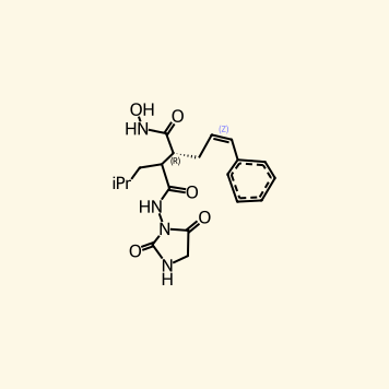 CC(C)CC(C(=O)NN1C(=O)CNC1=O)[C@@H](C/C=C\c1ccccc1)C(=O)NO